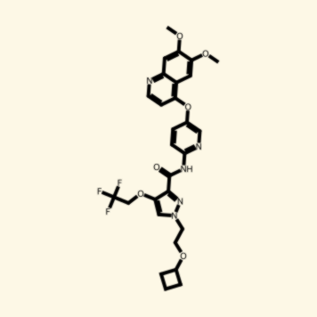 COc1cc2nccc(Oc3ccc(NC(=O)c4nn(CCOC5CCC5)cc4OCC(F)(F)F)nc3)c2cc1OC